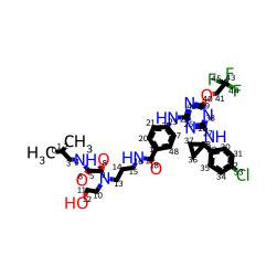 CC(C)CNC(=O)C(=O)N(CCO)CCCNC(=O)c1ccc(Nc2nc(NC3(c4ccc(Cl)cc4)CC3)nc(OCC(F)(F)F)n2)cc1